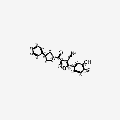 N#Cc1c(C(=O)N2CCC(c3ccccc3)C2)noc1-c1ccc(F)c(O)c1